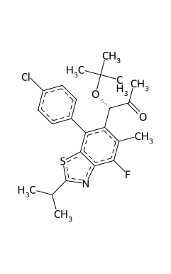 CC(=O)[C@@H](OC(C)(C)C)c1c(C)c(F)c2nc(C(C)C)sc2c1-c1ccc(Cl)cc1